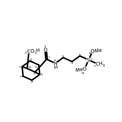 CO[Si](C)(CCCNC(=O)C1C2CCC(CC2)C1C(=O)O)OC